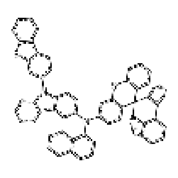 c1ccc2c(c1)Sc1cc(N(c3ccc4c(c3)c3ccccc3n4-c3ccc4c(c3)sc3ccccc34)c3cccc4ccccc34)ccc1C21c2ccccc2-c2cccc3cccc1c23